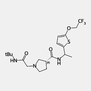 CC(NC(=O)[C@@H]1CCN(CC(=O)NC(C)(C)C)C1)c1ccc(OCC(F)(F)F)s1